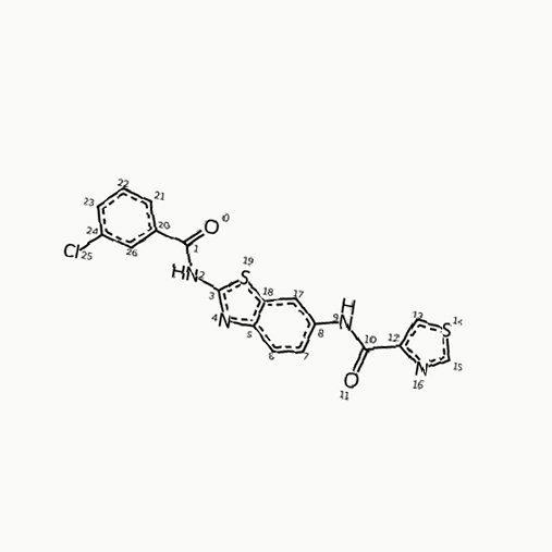 O=C(Nc1nc2ccc(NC(=O)c3cscn3)cc2s1)c1cccc(Cl)c1